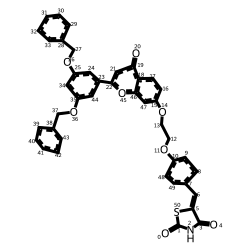 O=C1NC(=O)C(=Cc2ccc(OCCOc3ccc4c(=O)cc(-c5cc(OCc6ccccc6)cc(OCc6ccccc6)c5)oc4c3)cc2)S1